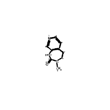 CN1CCc2ccncc2NC1=O